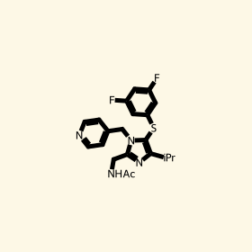 CC(=O)NCc1nc(C(C)C)c(Sc2cc(F)cc(F)c2)n1Cc1ccncc1